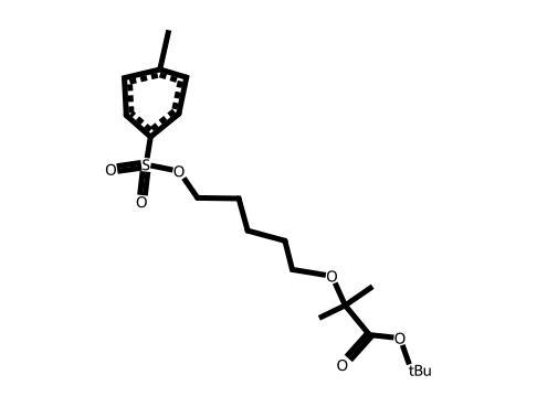 Cc1ccc(S(=O)(=O)OCCCCCOC(C)(C)C(=O)OC(C)(C)C)cc1